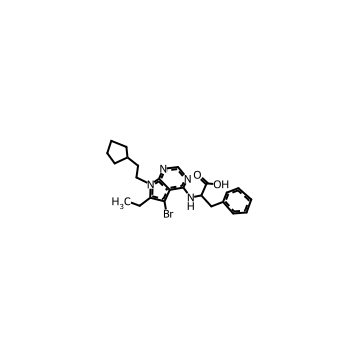 CCc1c(Br)c2c(NC(Cc3ccccc3)C(=O)O)ncnc2n1CCC1CCCC1